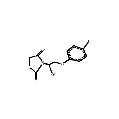 O=C1CSC(=O)N1C(O)COc1ccc(F)cc1